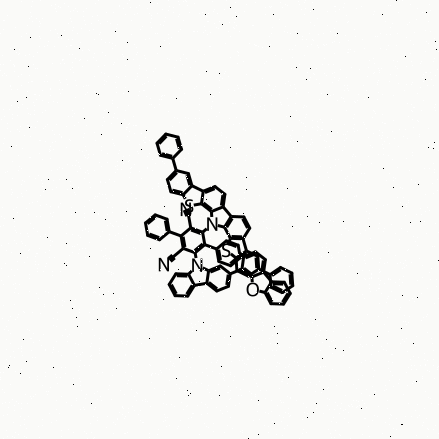 N#Cc1c(-c2ccccc2)c(C#N)c(-n2c3c(ccc4c5cc(-c6ccccc6)ccc5sc43)c3ccc4c5cc(-c6ccccc6)ccc5sc4c32)c(-c2ccccc2)c1-n1c2ccccc2c2ccc(-c3cccc4c3oc3ccccc34)cc21